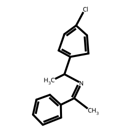 C/C(=N/C(C)c1ccc(Cl)cc1)c1ccccc1